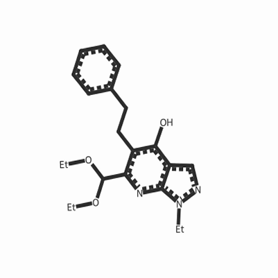 CCOC(OCC)c1nc2c(cnn2CC)c(O)c1CCc1ccccc1